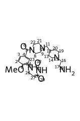 COc1ccc(C(=O)N2CCN(CC3CCN(CCN)CC3)CC2)cc1N1CCC(=O)NC1=O